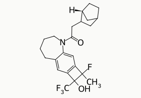 CC1(F)c2cc3c(cc2C1(O)C(F)(F)F)CCCCN3C(=O)CC1CC2CC[C@@H]1C2